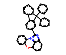 c1ccc(C2(c3ccccc3)c3ccccc3-c3ccc(-c4nc5cccc6c5n4-c4ccccc4O6)cc32)cc1